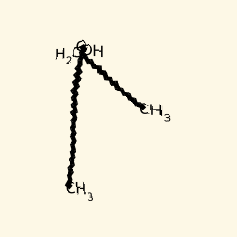 C=C(C(=O)O)C(CCCCCCCCCCCCCCCCCCCC)CCCCCCCCCCCCCCCCCCCCCCCCCCCCCCCCCC